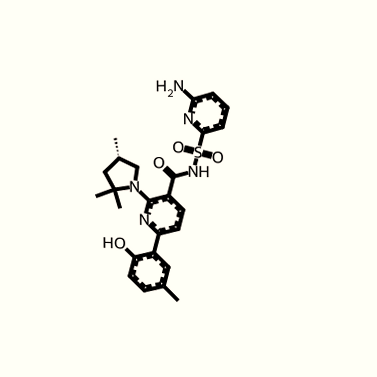 Cc1ccc(O)c(-c2ccc(C(=O)NS(=O)(=O)c3cccc(N)n3)c(N3C[C@@H](C)CC3(C)C)n2)c1